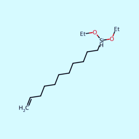 C=CCCCCCCCCC[SiH](OCC)OCC